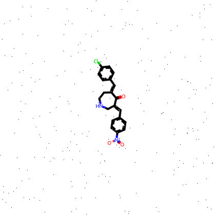 O=C1/C(=C/c2ccc(Cl)cc2)CCNC/C1=C\c1ccc([N+](=O)[O-])cc1